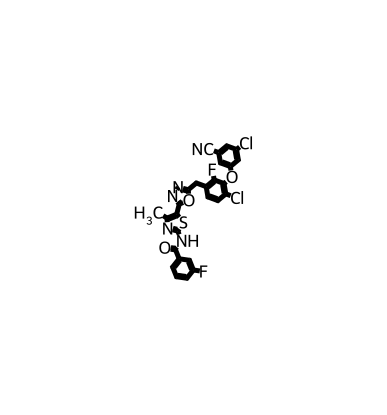 Cc1nc(NC(=O)c2cccc(F)c2)sc1-c1nnc(Cc2ccc(Cl)c(Oc3cc(Cl)cc(C#N)c3)c2F)o1